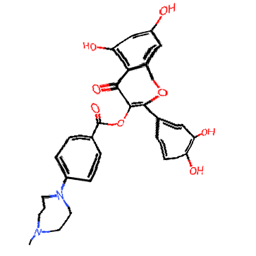 CN1CCN(c2ccc(C(=O)Oc3c(-c4ccc(O)c(O)c4)oc4cc(O)cc(O)c4c3=O)cc2)CC1